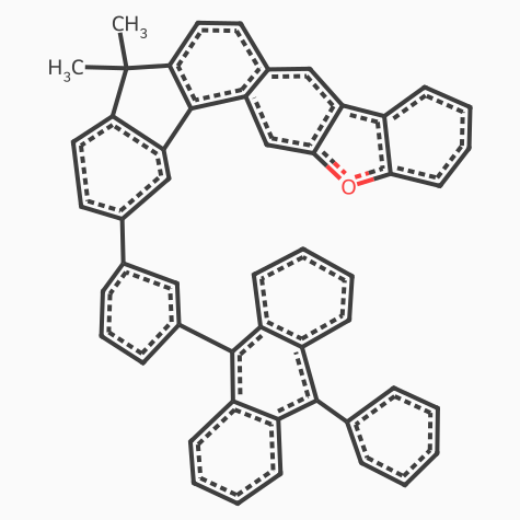 CC1(C)c2ccc(-c3cccc(-c4c5ccccc5c(-c5ccccc5)c5ccccc45)c3)cc2-c2c1ccc1cc3c(cc21)oc1ccccc13